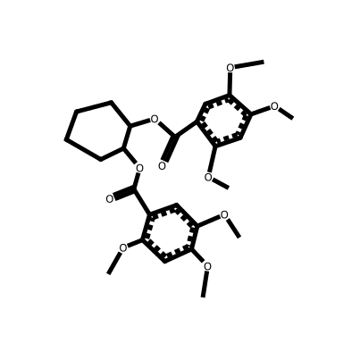 COc1cc(OC)c(C(=O)OC2CCCCC2OC(=O)c2cc(OC)c(OC)cc2OC)cc1OC